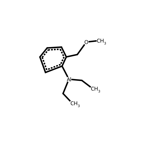 C[CH2][Al]([CH2]C)[c]1ccccc1COC